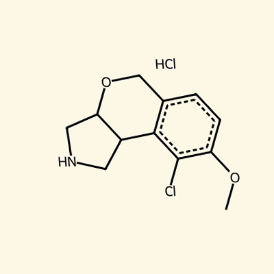 COc1ccc2c(c1Cl)C1CNCC1OC2.Cl